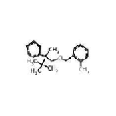 Cc1ccccc1COCC(C)(c1ccccc1)C(C)(C)C